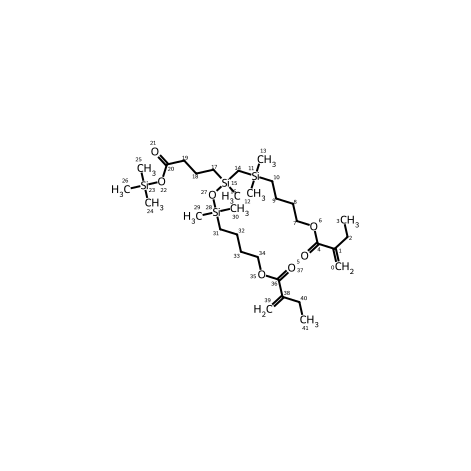 C=C(CC)C(=O)OCCCC[Si](C)(C)C[Si](C)(CCCC(=O)O[Si](C)(C)C)O[Si](C)(C)CCCCOC(=O)C(=C)CC